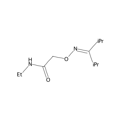 CCNC(=O)CON=C(C(C)C)C(C)C